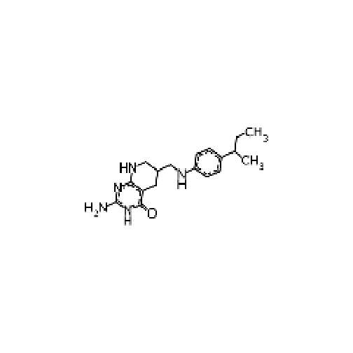 CCC(C)c1ccc(NCC2CNc3nc(N)[nH]c(=O)c3C2)cc1